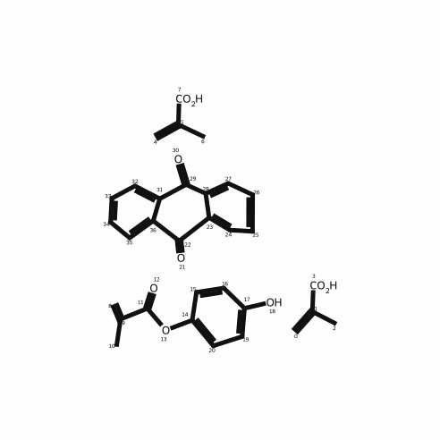 C=C(C)C(=O)O.C=C(C)C(=O)O.C=C(C)C(=O)Oc1ccc(O)cc1.O=C1c2ccccc2C(=O)c2ccccc21